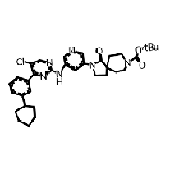 CC(C)(C)OC(=O)N1CCC2(CC1)CCN(c1cncc(Nc3ncc(Cl)c(-c4cccc(C5CCCCC5)c4)n3)c1)C2=O